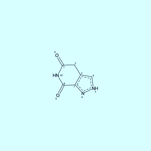 O=C1Cc2c[nH]nc2C(=O)N1